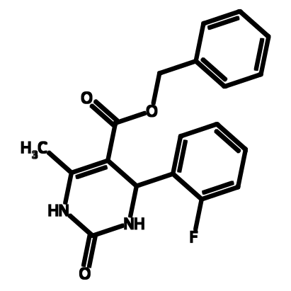 CC1=C(C(=O)OCc2ccccc2)C(c2ccccc2F)NC(=O)N1